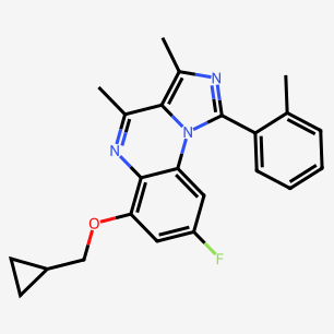 Cc1ccccc1-c1nc(C)c2c(C)nc3c(OCC4CC4)cc(F)cc3n12